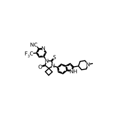 CN1CCC(c2cc3cc(N4C(=S)N(c5cnc(C#N)c(C(F)(F)F)c5)C(=O)C45CCC5)ccc3[nH]2)CC1